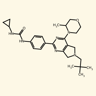 CC1COCCN1c1nc(-c2ccc(NC(=O)NC3CC3)cc2)nc2c1CN(CC(C)(C)C)C2